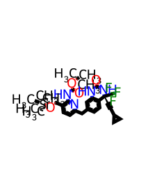 CC(C)(C)OC(=O)Nc1nc(Cc2ccc3c(c2)NC(=O)N[C@]3(C#CC2CC2)C(F)(F)F)ccc1CO[Si](C)(C)C(C)(C)C